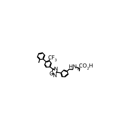 Cc1ccccc1-c1ccc(-c2nc(-c3cccc(CCN[C@H](C)C(=O)O)c3)no2)cc1C(F)(F)F